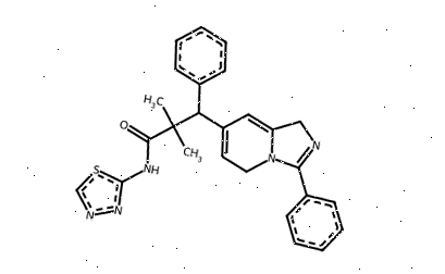 CC(C)(C(=O)Nc1nncs1)C(C1=CCN2C(=C1)CN=C2c1ccccc1)c1ccccc1